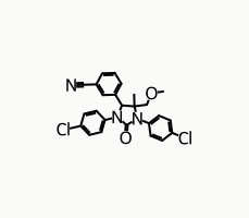 COCC1(C)C(c2cccc(C#N)c2)N(c2ccc(Cl)cc2)C(=O)N1c1ccc(Cl)cc1